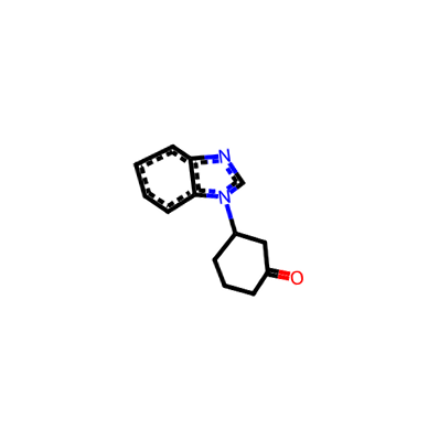 O=C1CCCC(n2cnc3ccccc32)C1